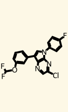 Fc1ccc(-n2cc(-c3cccc(OC(F)F)c3)c3ncc(Cl)nc32)cc1